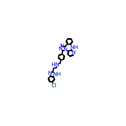 Clc1ccc2nc(CCNCc3ccc(-c4nnc5n4-c4cccnc4Nc4ccccc4-5)cc3)[nH]c2c1